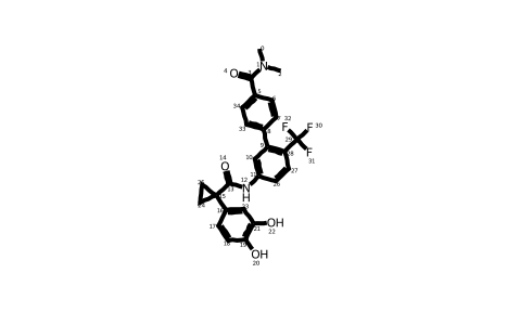 CN(C)C(=O)c1ccc(-c2cc(NC(=O)C3(c4ccc(O)c(O)c4)CC3)ccc2C(F)(F)F)cc1